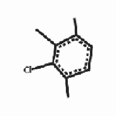 Cc1ccc(C)c(Cl)c1C